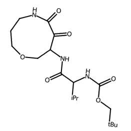 CC(C)C(NC(=O)OCC(C)(C)C)C(=O)NC1COCCCNC(=O)C1=O